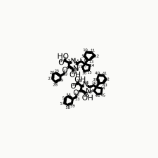 O=C(O)c1nc(CC2(c3ccccc3)CCCC2)nc(O)c1OCc1ccccc1.O=C(O)c1nc(CC2(c3ccccc3)CCCC2)nc(O)c1OCc1ccccc1